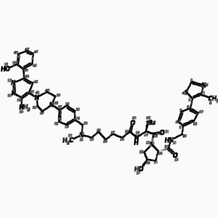 Cc1ncsc1-c1ccc(CNC(=O)[C@@H]2C[C@@H](O)CN2C(=O)[C@@H](NC(=O)CCCCCN(C)Cc2ccc(N3CCN(c4cc(-c5ccccc5O)nnc4N)CC3)cc2)C(C)(C)C)cc1